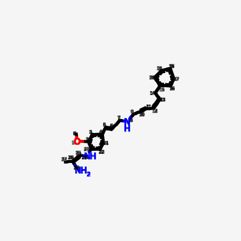 COc1cc(/C=C/CNC/C=C/C=C\Cc2ccccc2)ccc1N/C=C(/C)N